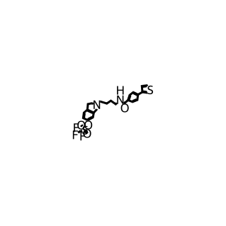 O=C(NCCCCN1CCc2ccc(OS(=O)(=O)C(F)(F)F)cc2C1)c1ccc(-c2ccsc2)cc1